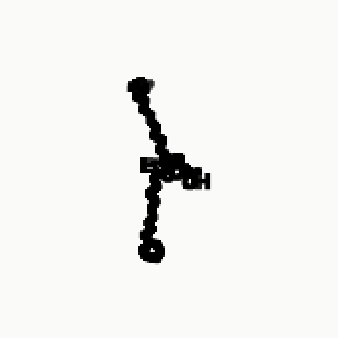 CCC(CCCCCCCCCC1CCCCC1)OP(=O)(OCCCCCCCCCC[N+](C)(C)C)OCC(C)O